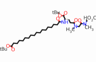 CN(CC(=O)O)C(=O)CN(C)C(=O)CC[C@H](NC(=O)CCCCCCCCCCCCCCCCC(=O)OC(C)(C)C)C(=O)OC(C)(C)C